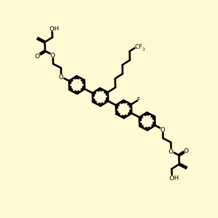 C=C(CO)C(=O)OCCOc1ccc(-c2ccc(-c3ccc(-c4ccc(OCCOC(=O)C(=C)CO)cc4)c(F)c3)c(CCCCCCC(F)(F)F)c2)cc1